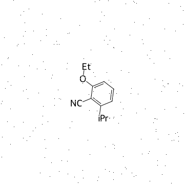 CCOc1cccc([C](C)C)c1C#N